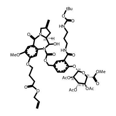 C=CCOC(=O)CCCOc1cc2c(cc1OC)C(=O)N1CC(=C)C[C@H]1C(O)N2C(=O)OCc1ccc(O[C@@H]2O[C@H](C(=O)OC)[C@@H](OC(C)=O)[C@H](OC(C)=O)[C@H]2OC(C)=O)c(C(=O)NCCCNC(=O)OC(C)(C)C)c1